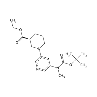 CCOC(=O)[C@H]1CCCN(c2cncc(N(C)C(=O)OC(C)(C)C)c2)C1